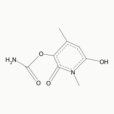 Cc1cc(O)n(C)c(=O)c1OC(N)=O